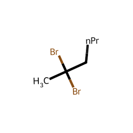 [CH2]CCCC(C)(Br)Br